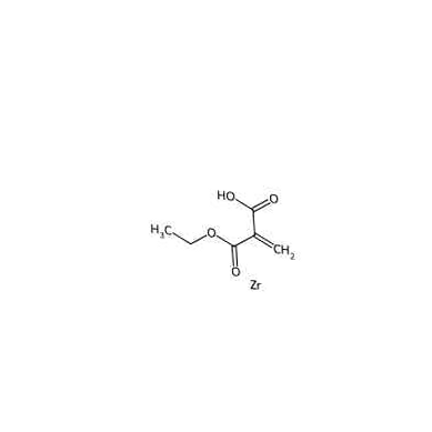 C=C(C(=O)O)C(=O)OCC.[Zr]